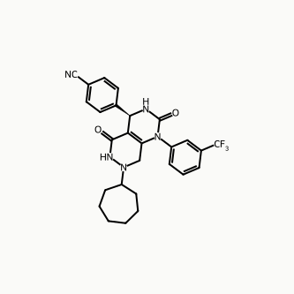 N#Cc1ccc([C@H]2NC(=O)N(c3cccc(C(F)(F)F)c3)C3=C2C(=O)NN(C2CCCCCC2)C3)cc1